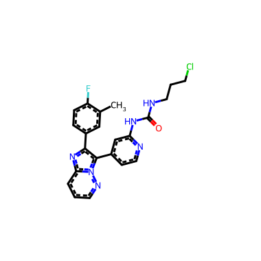 Cc1cc(-c2nc3cccnn3c2-c2ccnc(NC(=O)NCCCCl)c2)ccc1F